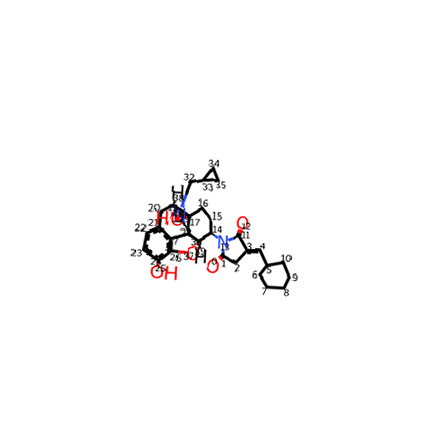 O=C1C/C(=C\C2CCCCC2)C(=O)N1[C@@H]1CC[C@@]2(O)[C@H]3Cc4ccc(O)c5c4[C@@]2(CCN3CC2CC2)[C@H]1O5